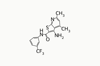 Cc1cc(C)c2c(N)c(C(=O)Nc3cccc(C(F)(F)F)c3)sc2n1